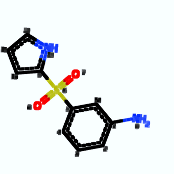 Nc1cccc(S(=O)(=O)c2ccc[nH]2)c1